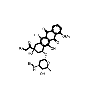 CCN[C@H]1C[C@H](O[C@H]2C[C@](O)(C(=O)CO)Cc3c(O)c4c(c(O)c32)C(=O)c2c(OC)cccc2C4=O)O[C@@H](C)[C@@H]1O